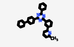 Cc1cccc(-c2cccc(-c3nc(-c4ccccc4)nc(-c4ccc(-c5ccccc5)cc4)n3)c2)n1